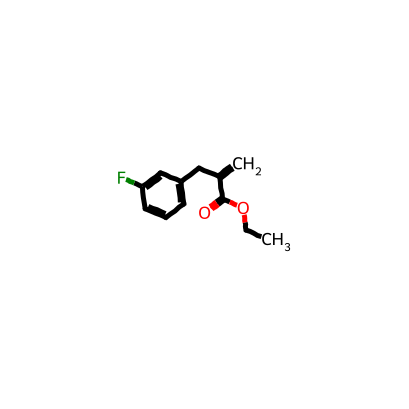 C=C(Cc1cccc(F)c1)C(=O)OCC